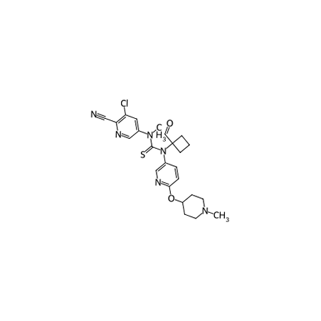 CN1CCC(Oc2ccc(N(C(=S)N(C)c3cnc(C#N)c(Cl)c3)C3(C=O)CCC3)cn2)CC1